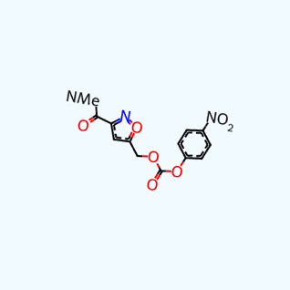 CNC(=O)c1cc(COC(=O)Oc2ccc([N+](=O)[O-])cc2)on1